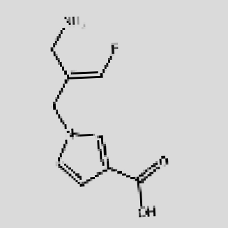 NCC(=CF)Cn1ccc(C(=O)O)c1